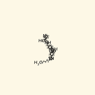 CCCCCCc1cnc(-c2ccc(S(=O)(=O)Nc3ccc(CCNCC(O)c4cccnc4)cc3)cc2)s1